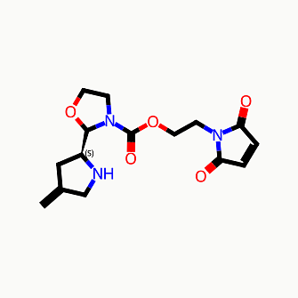 C=C1CN[C@H](C2OCCN2C(=O)OCCN2C(=O)C=CC2=O)C1